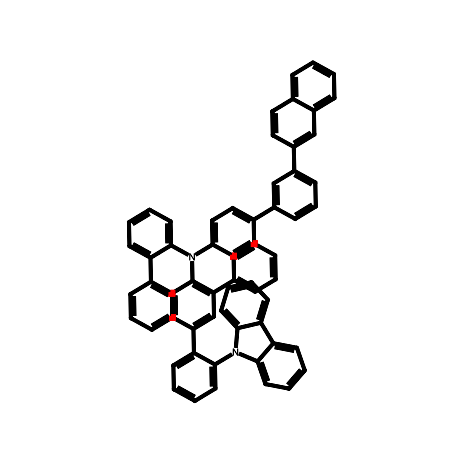 c1ccc(-c2ccccc2N(c2ccc(-c3cccc(-c4ccc5ccccc5c4)c3)cc2)c2ccc(-c3ccccc3-n3c4ccccc4c4ccccc43)cc2-c2ccccc2)cc1